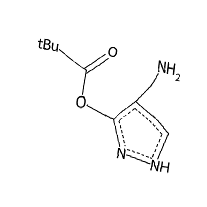 CC(C)(C)C(=O)Oc1n[nH]cc1N